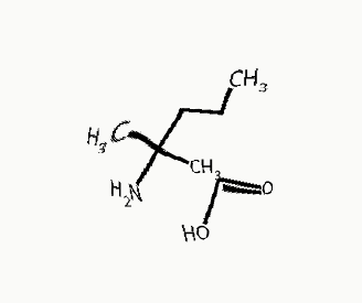 CCCC(C)(C)N.O=CO